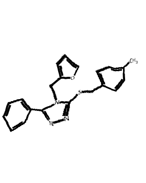 Cc1ccc(CSc2nnc(-c3ccccc3)n2Cc2ccco2)cc1